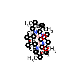 Cc1cccc(C)c1-c1cccc(N2c3cc(-c4c(C)cccc4C)ccc3B3c4cc5c(cc4N(c4ccccc4)c4cc(-c6c(C)cccc6C)cc2c43)N(c2c(-c3ccccc3)cccc2-c2ccccc2)c2cc(-c3c(C)cccc3C)cc3c2B5c2ccc(-c4c(C)cccc4C)cc2N3c2cccc(-c3c(C)cccc3C)c2)c1